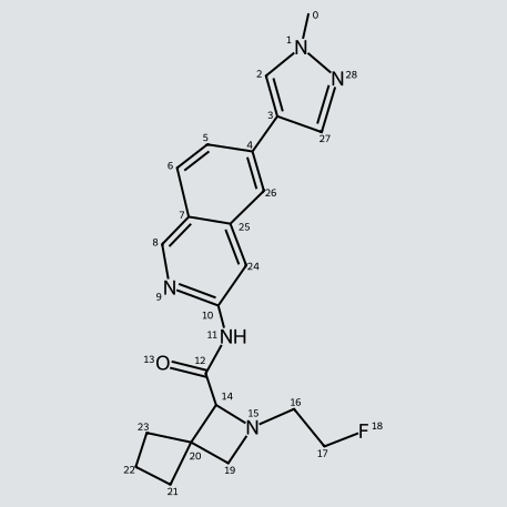 Cn1cc(-c2ccc3cnc(NC(=O)C4N(CCF)CC45CCC5)cc3c2)cn1